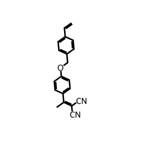 C=Cc1ccc(COc2ccc(C(C)=C(C#N)C#N)cc2)cc1